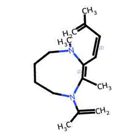 C=C(C)/C=C\C1=C(/C)N(C(=C)C)CCCCN1C